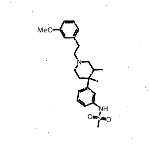 COc1cccc(CCN2CCC(C)(c3cccc(NS(C)(=O)=O)c3)C(C)C2)c1